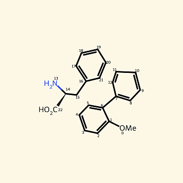 COc1ccccc1-c1ccccc1.N[C@@H](Cc1ccccc1)C(=O)O